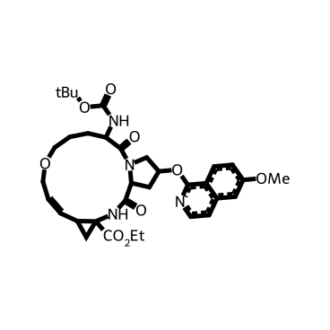 CCOC(=O)C12CC1C=CCOCCCC(NC(=O)OC(C)(C)C)C(=O)N1CC(Oc3nccc4cc(OC)ccc34)CC1C(=O)N2